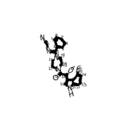 N#C/N=C(\c1ccccc1)N1CCN(C(=O)C(=O)c2c[nH]c3cccc(F)c23)CC1